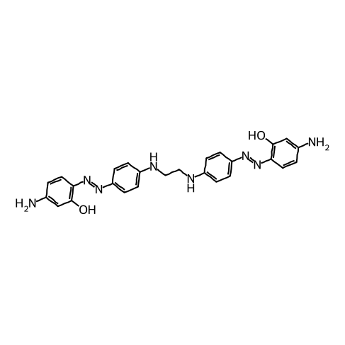 Nc1ccc(/N=N/c2ccc(NCCNc3ccc(/N=N/c4ccc(N)cc4O)cc3)cc2)c(O)c1